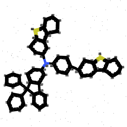 c1ccc(C2(c3ccccc3)c3ccccc3-c3cc(N(c4ccc(-c5ccc6c(c5)sc5ccccc56)cc4)c4ccc5sc6ccccc6c5c4)ccc32)cc1